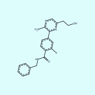 Nc1ncc(CCO)nc1-c1ccc(C(=O)NCc2ccccc2)c(F)c1